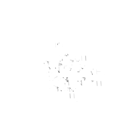 CC(C)[C@H](N)C(=O)O[C@@H]1[C@@H](O)[C@@H](CO)O[C@H]1n1c(=O)sc2cnc(N)nc21